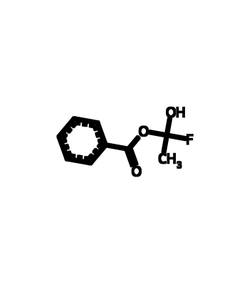 CC(O)(F)OC(=O)c1ccccc1